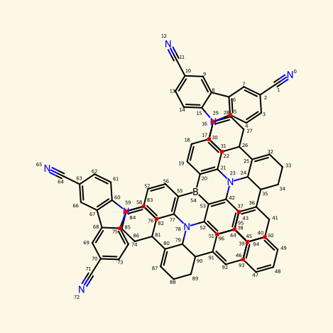 N#Cc1ccc2c(c1)c1cc(C#N)ccc1n2-c1ccc2c(c1)N(C1C(C3CC=CCC3)=CCCC1C1=CCCCC1)c1cc(-c3ccccc3)cc3c1B2c1ccc(-n2c4ccc(C#N)cc4c4cc(C#N)ccc42)cc1N3C1C(C2CC=CCC2)=CCCC1C1=CCCCC1